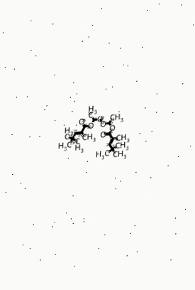 C/C(=C\C(C)(C)C)C(=O)OC(C)OOC(C)OC(=O)/C(C)=C/C(C)(C)C